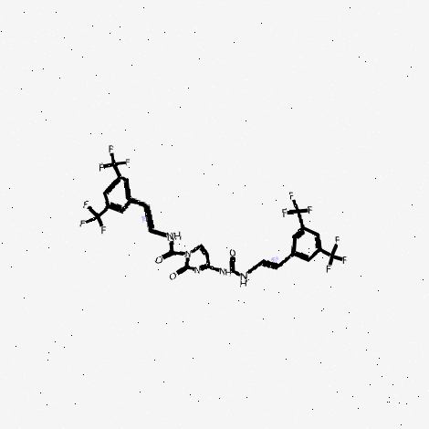 O=C(N/C=C/c1cc(C(F)(F)F)cc(C(F)(F)F)c1)Nc1ccn(C(=O)N/C=C/c2cc(C(F)(F)F)cc(C(F)(F)F)c2)c(=O)n1